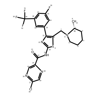 C[C@@H]1CCCCN1Cc1sc(NC(=O)c2cnc(Cl)cn2)nc1-c1cc(F)cc(C(F)(F)F)c1